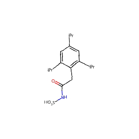 CC(C)c1cc(C(C)C)c(CC(=O)NS(=O)(=O)O)c(C(C)C)c1